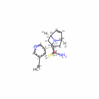 C#Cc1cncc([C@]2(C(N)=S)C[C@H]3C=C[C@@H](C2)N3CC(F)(F)F)c1